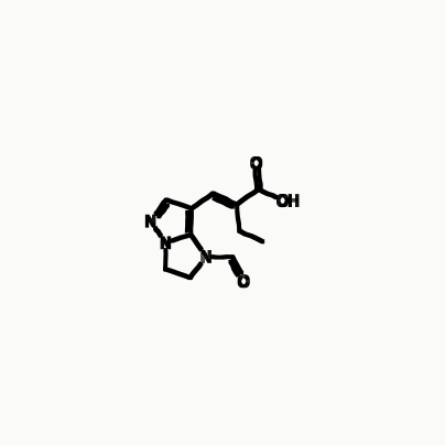 CCC(=Cc1cnn2c1N(C=O)CC2)C(=O)O